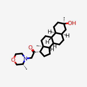 C[C@@H]1COCCN1CC(=O)[C@H]1CC[C@H]2[C@@H]3CC[C@@H]4C[C@](C)(O)CC[C@@H]4[C@H]3CC[C@]12C